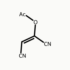 CC(=O)OC(C#N)=CC#N